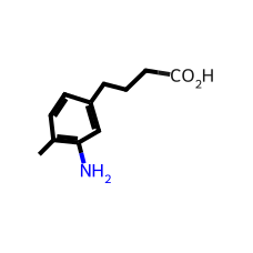 Cc1ccc(CCCC(=O)O)cc1N